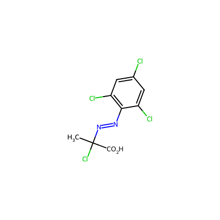 CC(Cl)(N=Nc1c(Cl)cc(Cl)cc1Cl)C(=O)O